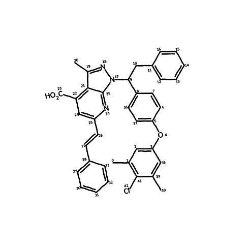 Cc1cc(Oc2ccc(C(Cc3ccccc3)n3nc(C)c4c(C(=O)O)cc(/C=C/c5ccccc5)nc43)cc2)cc(C)c1Cl